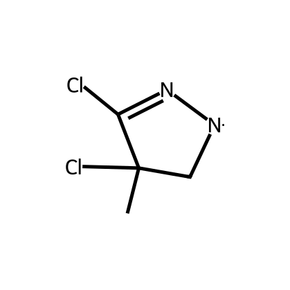 CC1(Cl)C[N]N=C1Cl